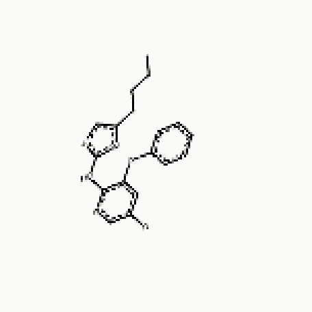 CCCCc1csc(Nc2ncc(Cl)cc2Oc2ccccc2)n1